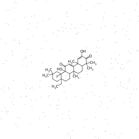 CCC12CCC3C4(C)CCC5C(C)(C)C(=O)C(O)=CC5(C)C4=CC(=O)C3(O)C1(I)CC(C)(C)CC2